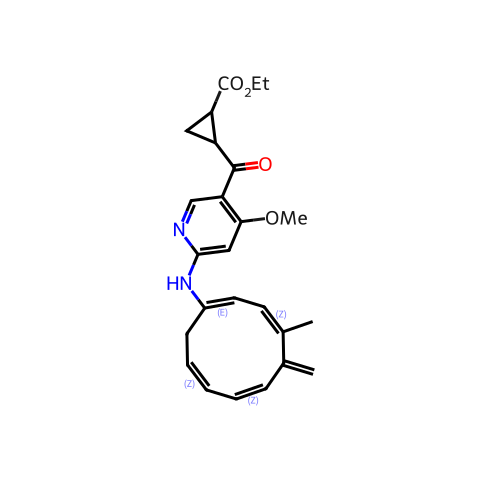 C=C1/C=C\C=C/C/C(Nc2cc(OC)c(C(=O)C3CC3C(=O)OCC)cn2)=C\C=C/1C